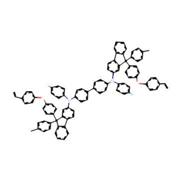 C=Cc1ccc(Oc2ccc(C3(c4ccc(C)cc4)c4ccccc4-c4ccc(N(c5ccc(F)cc5)c5ccc(-c6ccc(N(c7ccc(F)cc7)c7ccc8c(c7)C(c7ccc(C)cc7)(c7ccc(Oc9ccc(C=C)cc9)cc7)c7ccccc7-8)cc6)cc5)cc43)cc2)cc1